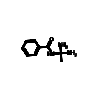 CC(N)(N)NC(=O)c1ccccc1